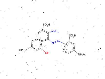 CC(=O)Nc1ccc(N=Nc2c(N)c(S(=O)(=O)O)cc3cc(S(=O)(=O)O)cc(O)c23)c(S(=O)(=O)O)c1